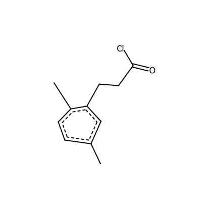 Cc1ccc(C)c(CCC(=O)Cl)c1